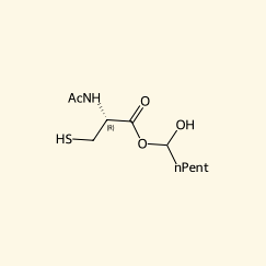 CCCCCC(O)OC(=O)[C@H](CS)NC(C)=O